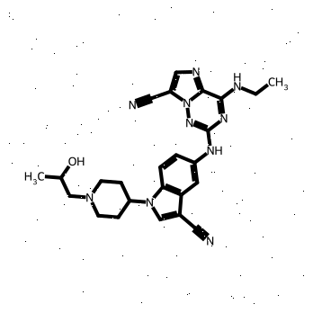 CCNc1nc(Nc2ccc3c(c2)c(C#N)cn3C2CCN(CC(C)O)CC2)nn2c(C#N)cnc12